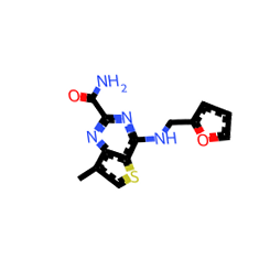 Cc1csc2c(NCc3ccco3)nc(C(N)=O)nc12